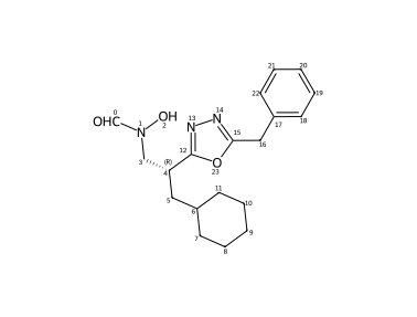 O=CN(O)C[C@@H](CC1CCCCC1)c1nnc(Cc2ccccc2)o1